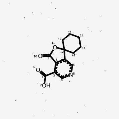 O=C(O)c1cncc2c1C(=O)OC21CCCCC1